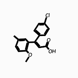 COc1ccc(C)cc1C(=CC(=O)O)c1ccc(Cl)cc1